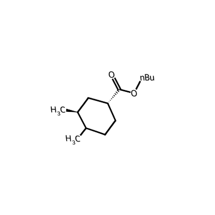 CCCCOC(=O)[C@@H]1CCC(C)[C@@H](C)C1